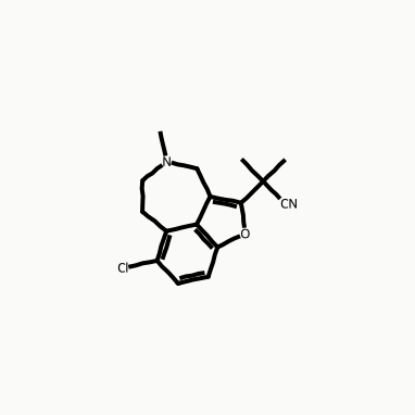 CN1CCc2c(Cl)ccc3oc(C(C)(C)C#N)c(c23)C1